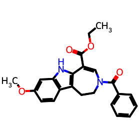 CCOC(=O)C1=CN(C(=O)c2ccccc2)CCc2c1[nH]c1cc(OC)ccc21